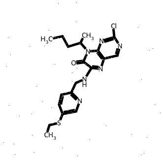 CCCC(C)n1c(=O)c(NCc2ccc(SCC)cn2)nc2cnc(Cl)nc21